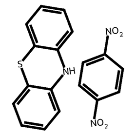 O=[N+]([O-])c1ccc([N+](=O)[O-])cc1.c1ccc2c(c1)Nc1ccccc1S2